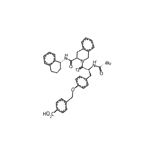 CC[C@@H](C)C(=O)N[C@@H](Cc1ccc(OCc2ccc(C(=O)O)cc2)cc1)C(=O)N1Cc2ccccc2CC1C(=O)N[C@@H]1CCCc2ccccc21